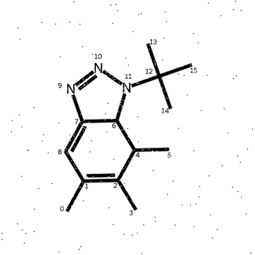 CC1=C(C)C(C)C2C(=C1)N=NN2C(C)(C)C